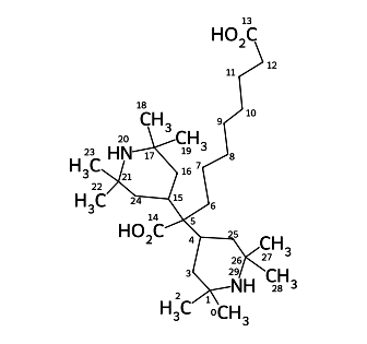 CC1(C)CC(C(CCCCCCCC(=O)O)(C(=O)O)C2CC(C)(C)NC(C)(C)C2)CC(C)(C)N1